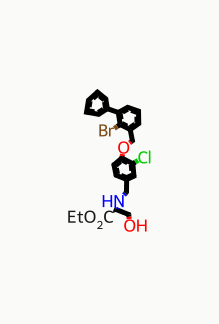 CCOC(=O)[C@@H](CO)NCc1ccc(OCc2cccc(-c3ccccc3)c2Br)c(Cl)c1